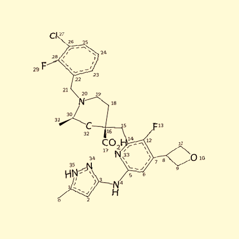 Cc1cc(Nc2cc(C3COC3)c(F)c(C[C@@]3(C(=O)O)CCN(Cc4cccc(Cl)c4F)[C@H](C)C3)n2)n[nH]1